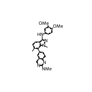 CNc1ncc2cc(-c3c(C)ccc4c(Nc5ccc(OC)c(OC)c5)nn(C)c34)ccc2n1